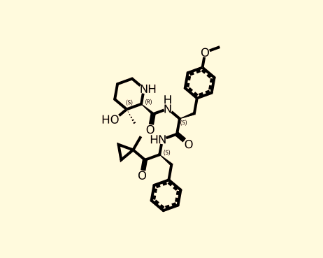 COc1ccc(C[C@H](NC(=O)[C@@H]2NCCC[C@]2(C)O)C(=O)N[C@@H](Cc2ccccc2)C(=O)C2(C)CC2)cc1